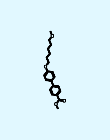 COCCCCCCOc1ccc(-c2ccc(C(=O)OC)cc2)cc1